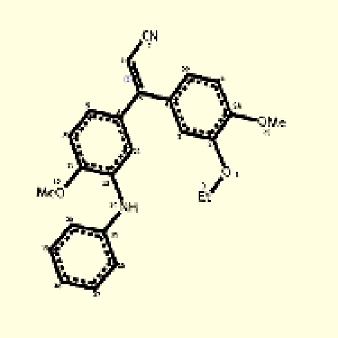 CCOc1cc(/C(=C\C#N)c2ccc(OC)c(Nc3ccccc3)c2)ccc1OC